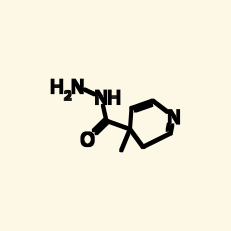 CC1(C(=O)NN)C=CN=CC1